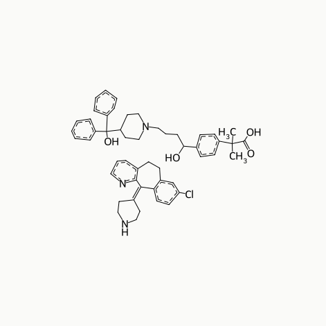 CC(C)(C(=O)O)c1ccc(C(O)CCCN2CCC(C(O)(c3ccccc3)c3ccccc3)CC2)cc1.Clc1ccc2c(c1)CCc1cccnc1C2=C1CCNCC1